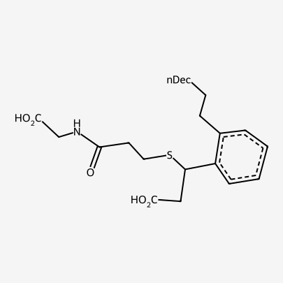 CCCCCCCCCCCCc1ccccc1C(CC(=O)O)SCCC(=O)NCC(=O)O